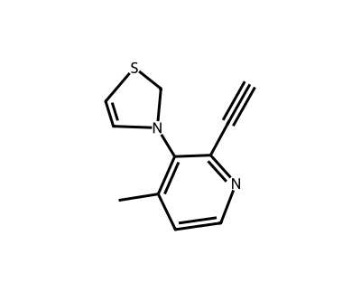 C#Cc1nccc(C)c1N1C=CSC1